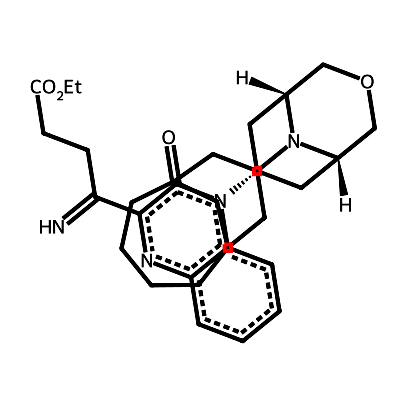 CCOC(=O)CCC(=N)c1nc2ccccc2n([C@H]2C[C@H]3COC[C@@H](C2)N3C2CC3CCCCC(C3)C2)c1=O